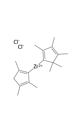 CC1=C(C)[C]([Zr+2][C]2=C(C)C(C)=C(C)C2(C)C)=C(C)C1.[Cl-].[Cl-]